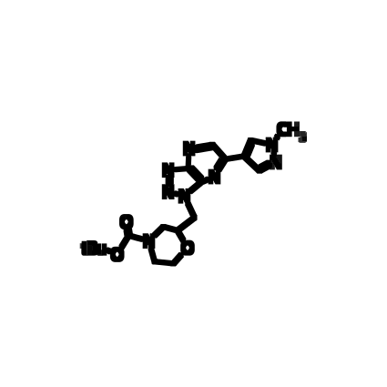 Cn1cc(-c2cnc3nnn(CC4CN(C(=O)OC(C)(C)C)CCO4)c3n2)cn1